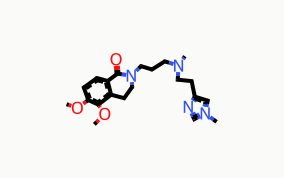 COc1ccc2c(c1OC)CCN(CCCN(C)CCc1cn(C)cn1)C2=O